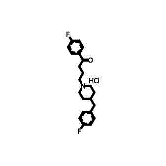 Cl.O=C(CCCN1CCC(Cc2ccc(F)cc2)CC1)c1ccc(F)cc1